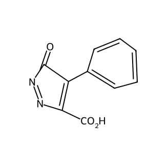 O=C(O)C1=C(c2ccccc2)C(=O)N=N1